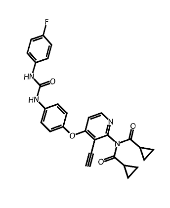 C#Cc1c(Oc2ccc(NC(=O)Nc3ccc(F)cc3)cc2)ccnc1N(C(=O)C1CC1)C(=O)C1CC1